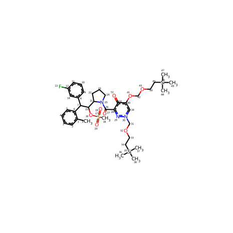 Cc1ccccc1C(c1cccc(F)c1)C(OS(C)(=O)=O)C1CCCN1C(=O)c1nn(COCC[Si](C)(C)C)cc(OCOCC[Si](C)(C)C)c1=O